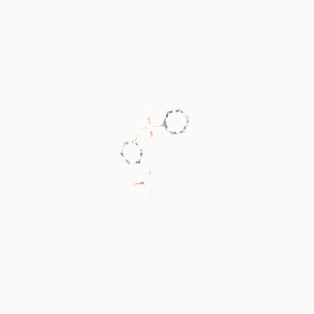 O=C(CBr)Nc1cccc(OS(=O)(=O)c2ccccc2)c1